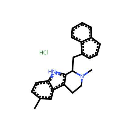 Cc1ccc2[nH]c3c(c2c1)CCN(C)C3Cc1cccc2ccccc12.Cl